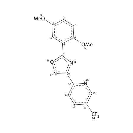 COc1ccc(OC)c(-c2nc(-c3ccc(C(F)(F)F)cn3)no2)c1